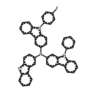 Fc1ccc(-n2c3ccccc3c3cc(N(c4ccc5sc6ccccc6c5c4)c4ccc5c6ccccc6n(-c6ccccc6)c5c4)ccc32)cc1